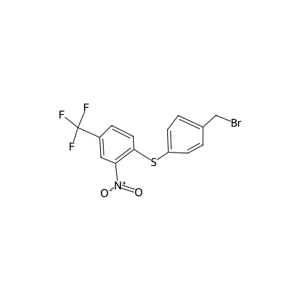 O=[N+]([O-])c1cc(C(F)(F)F)ccc1Sc1ccc(CBr)cc1